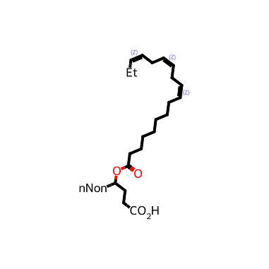 CC/C=C\C/C=C\C/C=C\CCCCCCCC(=O)OC(CCCCCCCCC)CCC(=O)O